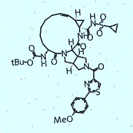 COc1ccc(-c2nc(C(=O)N3C[C@H]4CN5C(=O)[C@@H](NC(=O)OC(C)(C)C)CCCCC/C=C\[C@H]6C[C@@]6(C(=O)NS(=O)(=O)C6CC6)NC(=O)[C@@H]5[C@H]4C3)cs2)cc1